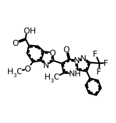 COc1cc(C(=O)O)cc2oc(-c3c(C)[nH]c4c(-c5ccccc5)c(C(F)(F)F)nn4c3=O)nc12